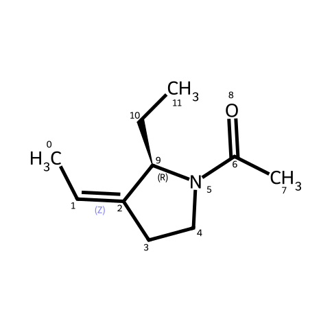 C/C=C1/CCN(C(C)=O)[C@@H]1CC